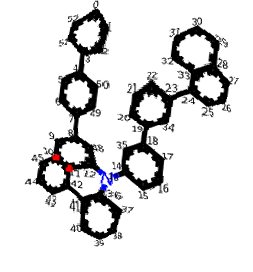 c1ccc(-c2ccc(-c3cccc(N(c4cccc(-c5cccc(-c6cccc7ccccc67)c5)c4)c4ccccc4-c4ccccc4)c3)cc2)cc1